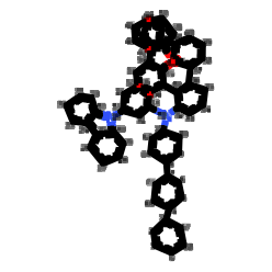 c1ccc(-c2ccc(-c3ccc(N(c4cccc(-n5c6ccccc6c6ccccc65)c4)c4cccc(-c5cccc(-c6ccccc6)c5)c4-c4cccc5c4oc4ccccc45)cc3)cc2)cc1